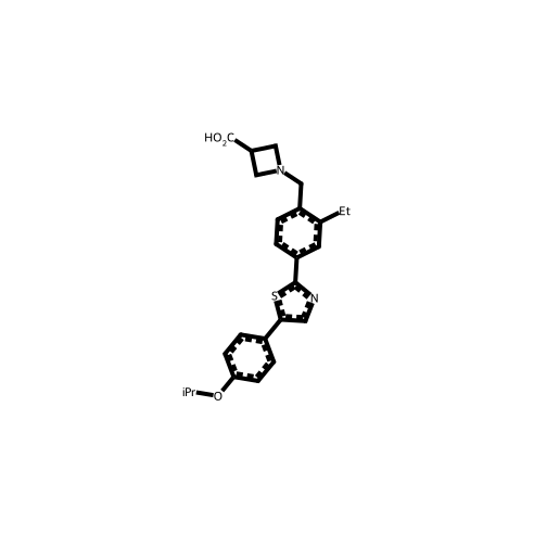 CCc1cc(-c2ncc(-c3ccc(OC(C)C)cc3)s2)ccc1CN1CC(C(=O)O)C1